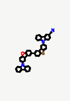 N#Cc1ccc2c(c1)c1ccccc1n2-c1ccc2sc3ccc(-c4ccc5oc6ccc(-n7c8ccccc8c8ccccc87)cc6c5c4)cc3c2c1